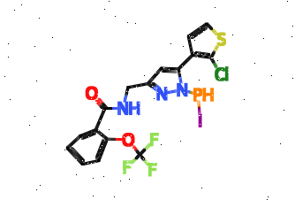 O=C(NCc1cc(-c2ccsc2Cl)n(PI)n1)c1ccccc1OC(F)(F)F